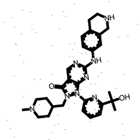 CN1CCC(Cn2c(=O)c3cnc(Nc4ccc5c(c4)CNCC5)nc3n2-c2cccc(C(C)(C)O)n2)CC1